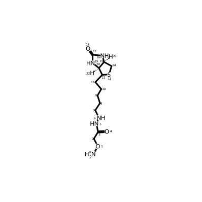 NOCC(=O)NNCCCCCC1SC[C@@H]2NC(=O)N[C@H]12